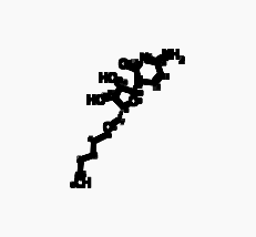 C#CCCCCOC[C@H]1O[C@@H](n2ccc(N)nc2=O)[C@H](O)[C@@H]1O